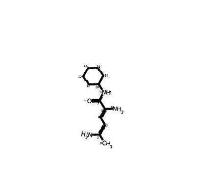 C/C(N)=C/C=C(\N)C(=O)NC1CCCCC1